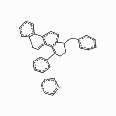 C1=c2c(ccc3c2=C(c2ccccc2)CCC3Cc2ccccc2)-c2ccccc2C1.c1ccncc1